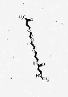 CNCCC(=O)NCCCOCCOCCOCCC(C)=O